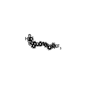 O=C1CCC(N2C(=O)c3cccc4c(Cc5ccc(CN6CCN(c7cccc(-n8cnc(C(F)(F)F)n8)n7)CC6)cc5)ccc2c34)C(=O)N1